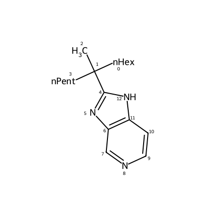 CCCCCCC(C)(CCCCC)c1nc2cnccc2[nH]1